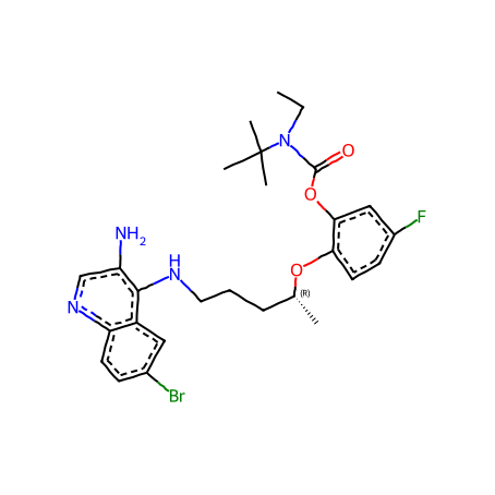 CCN(C(=O)Oc1cc(F)ccc1O[C@H](C)CCCNc1c(N)cnc2ccc(Br)cc12)C(C)(C)C